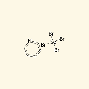 Br[Se](Br)(Br)Br.c1ccncc1